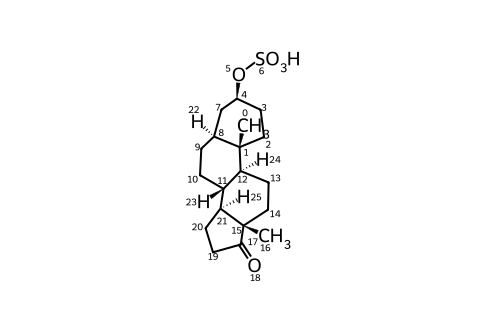 C[C@]12CC[C@H](OS(=O)(=O)O)C[C@@H]1CC[C@@H]1[C@@H]2CC[C@]2(C)C(=O)CC[C@@H]12